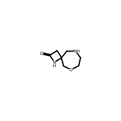 O=C1CC2(CNCCOC2)N1